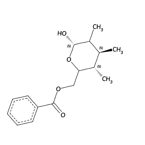 CC1[C@@H](C)[C@H](C)C(COC(=O)c2ccccc2)O[C@@H]1O